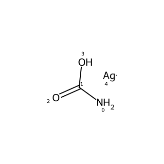 NC(=O)O.[Ag]